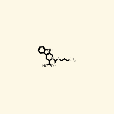 CCCCSC(=S)N1Cc2[nH]c3ccccc3c2CC1C(=O)O